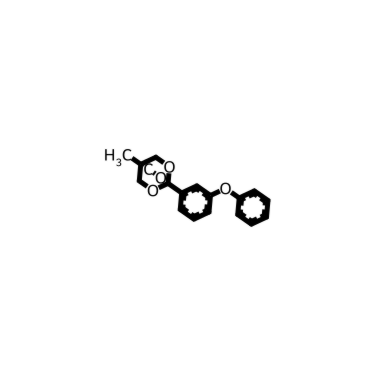 CC12COC(c3cccc(Oc4ccccc4)c3)(OC1)OC2